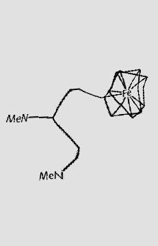 CNCC(C[C]12[CH]3[CH]4[CH]5[CH]1[Fe]45321678[CH]2[CH]1[CH]6[CH]7[CH]28)NC